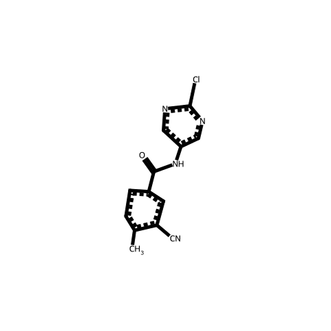 Cc1ccc(C(=O)Nc2cnc(Cl)nc2)cc1C#N